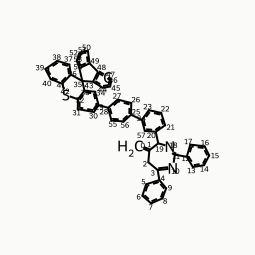 C=C1CC(c2ccccc2)=NC(c2ccccc2)=NC1c1cccc(-c2ccc(-c3ccc4c(c3)C3(c5ccccc5S4)c4ccccc4-c4ccccc43)cc2)c1